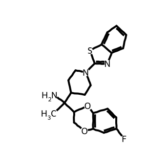 CC(N)(C1CCN(c2nc3ccccc3s2)CC1)C1COc2cc(F)ccc2O1